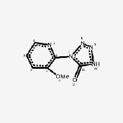 COc1cccnc1-n1nn[nH]c1=O